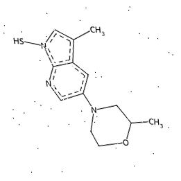 Cc1cn(S)c2ncc(N3CCOC(C)C3)cc12